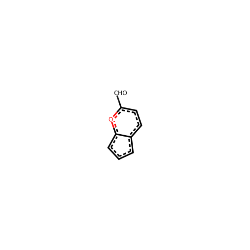 O=Cc1ccc2cccc-2o1